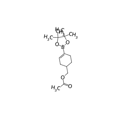 CC(=O)OCC1CC=C(B2OC(C)(C)C(C)(C)O2)CC1